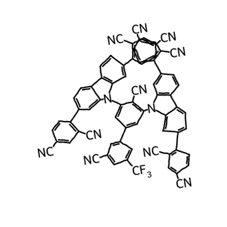 N#Cc1cc(-c2cc(-n3c4cc(-c5ccc(C#N)cc5C#N)ccc4c4ccc(-c5ccc(C#N)cc5C#N)cc43)c(C#N)c(-n3c4cc(-c5ccc(C#N)cc5C#N)ccc4c4ccc(-c5ccc(C#N)cc5C#N)cc43)c2)cc(C(F)(F)F)c1